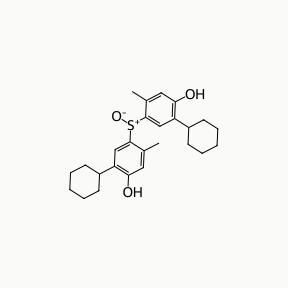 Cc1cc(O)c(C2CCCCC2)cc1[S+]([O-])c1cc(C2CCCCC2)c(O)cc1C